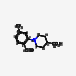 O=Cc1ccc(C(F)(F)F)cc1N1CCC(C(=O)O)CC1